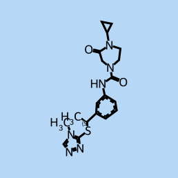 C[C@H](Sc1nncn1C)c1cccc(NC(=O)N2CCN(C3CC3)C(=O)C2)c1